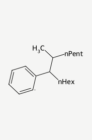 CCCCCCC(c1[c]cccc1)C(C)CCCCC